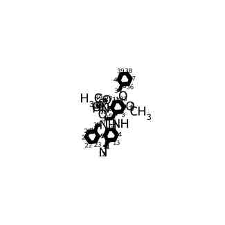 COc1cc(C(Nc2ccc(C#N)cc2)C(=O)NCc2ccccc2)c(NS(C)(=O)=O)cc1OCc1ccccc1